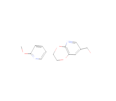 COc1ccc([C@H]2COc3cc(CO)cnc3O2)cn1